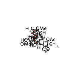 C=CCN1[C@@H]2c3c(cc(C)c(OC)c3O)C[C@H]1[C@H](C#N)N1C2[C@@H]2SC[C@]3(NCCc4cc(O)c(OC)cc43)C(=O)OC[C@H]1c1c3c(c(C)c(OC(C)=O)c12)OCO3